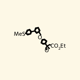 CCOC(=O)CC1(c2ccc(OCc3cccc(-c4ccc(SC)cc4)c3)cc2)COC1